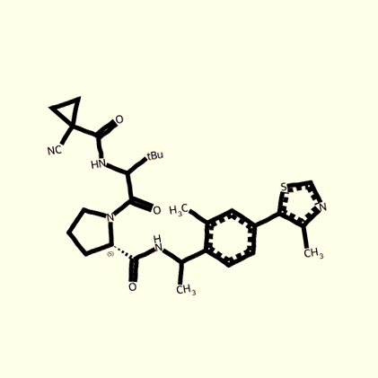 Cc1cc(-c2scnc2C)ccc1C(C)NC(=O)[C@@H]1CCCN1C(=O)C(NC(=O)C1(C#N)CC1)C(C)(C)C